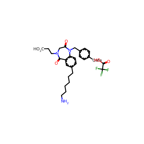 COc1ccc(CN2C(=O)CN(CCC(=O)O)C(=O)c3cc(CCCCCCN)ccc32)cc1.O=C(O)C(F)(F)F